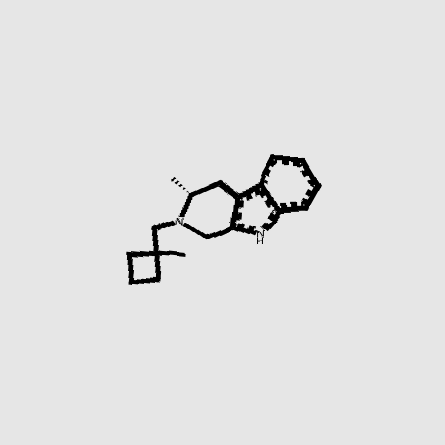 C[C@@H]1Cc2c([nH]c3ccccc23)CN1CC1(C)CCC1